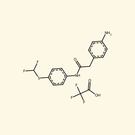 Nc1ccc(CC(=O)Nc2ccc(SC(F)F)cc2)cc1.O=C(O)C(F)(F)F